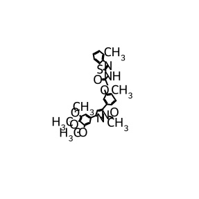 COc1cc(-c2cc(-c3ccc(C)c(OCC(=O)Nc4nc5c(C)cccc5s4)c3)n(C(C)=O)n2)cc(OC)c1OC